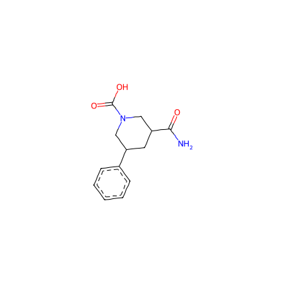 NC(=O)C1CC(c2ccccc2)CN(C(=O)O)C1